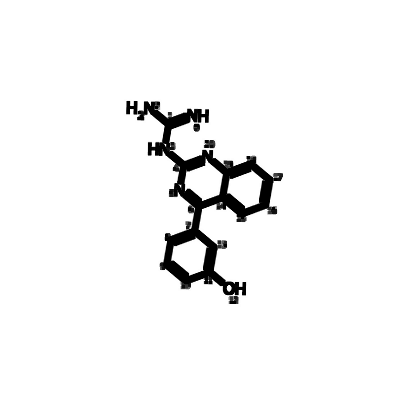 N=C(N)Nc1nc(-c2cccc(O)c2)c2ccccc2n1